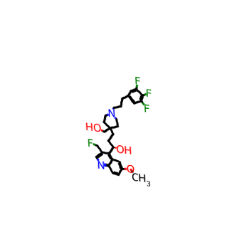 COc1ccc2ncc(CF)c([C@H](O)CCC3(CO)CCN(CCCc4cc(F)c(F)c(F)c4)CC3)c2c1